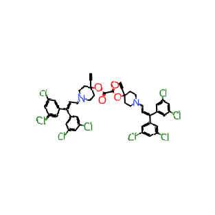 C#CC1(OC(=O)C(=O)OC2(C#C)CCN(CC=C(c3cc(Cl)cc(Cl)c3)c3cc(Cl)cc(Cl)c3)CC2)CCN(CC=C(c2cc(Cl)cc(Cl)c2)c2cc(Cl)cc(Cl)c2)CC1